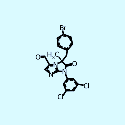 C[C@@]1(Cc2ccc(Br)cc2)C(=O)N(c2cc(Cl)cc(Cl)c2)c2ncc(C=O)n21